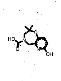 CC1(C)CN(C(=O)O)Cc2nc(O)ccc2O1